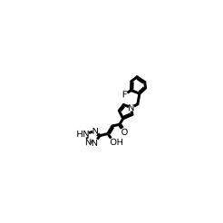 O=C(C=C(O)c1nn[nH]n1)c1ccn(Cc2ccccc2F)c1